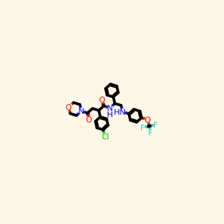 O=C(NC(CNc1ccc(OC(F)(F)F)cc1)c1ccccc1)C(CC(=O)N1CCOCC1)c1ccc(Cl)cc1